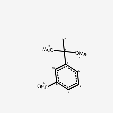 COC(C)(OC)c1cccc(C=O)c1